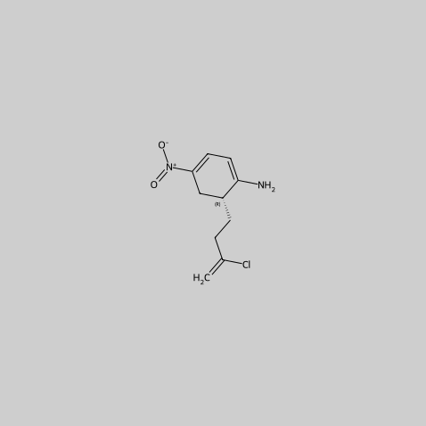 C=C(Cl)CC[C@@H]1CC([N+](=O)[O-])=CC=C1N